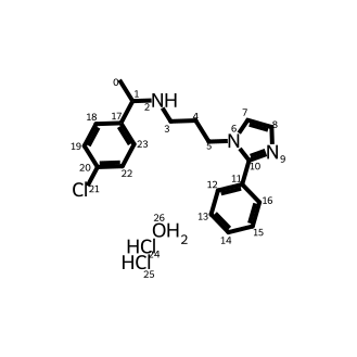 CC(NCCCn1ccnc1-c1ccccc1)c1ccc(Cl)cc1.Cl.Cl.O